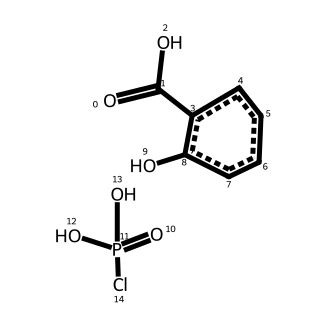 O=C(O)c1ccccc1O.O=P(O)(O)Cl